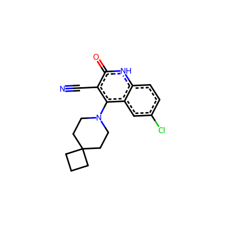 N#Cc1c(N2CCC3(CCC3)CC2)c2cc(Cl)ccc2[nH]c1=O